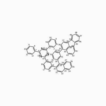 c1ccc(-c2nc(-c3ccccc3)nc(-c3cccc(-c4ccc5ccccc5c4-c4cccc(-c5ccc6c7c(cccc57)-c5ccccc5-6)c4)c3)n2)cc1